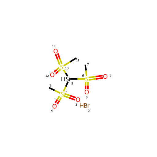 Br.CS(=O)(=O)[SiH](S(C)(=O)=O)S(C)(=O)=O